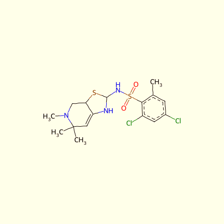 Cc1cc(Cl)cc(Cl)c1S(=O)(=O)NC1NC2=CC(C)(C)N(C)CC2S1